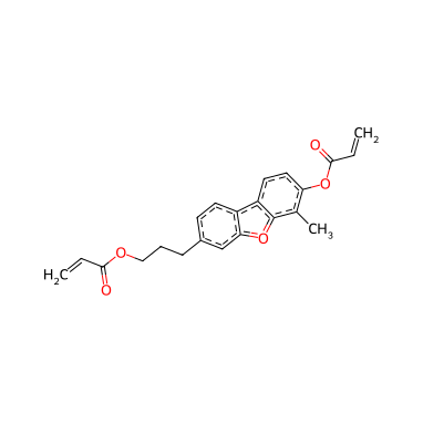 C=CC(=O)OCCCc1ccc2c(c1)oc1c(C)c(OC(=O)C=C)ccc12